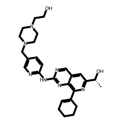 C[C@@H](O)c1cc2cnc(Nc3ccc(CN4CCN(CCO)CC4)cn3)nc2c(C2=CCCCC2)n1